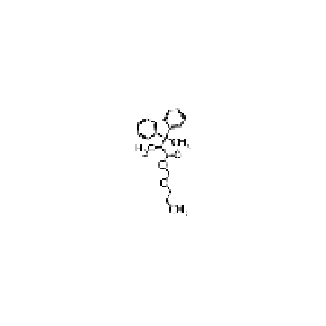 C=CCOCOC(=O)C(=C)C(C)(c1ccccc1)c1ccccc1